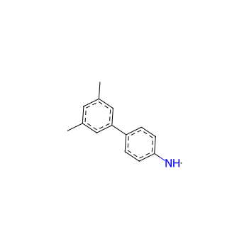 Cc1cc(C)cc(-c2ccc([NH])cc2)c1